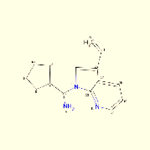 C=Cc1cn(C(N)C2CCCC2)c2ncccc12